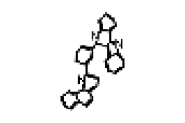 c1ccc2nc3c(c-2cc1)c(-c1cccc(-c2ccc4ccc5ccccc5c4n2)c1)nc1ccccc13